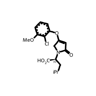 COc1cccc(OC2=CC(=O)N([C@@H](CC(C)C)C(=O)O)C2)c1Cl